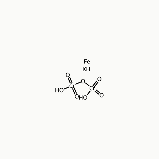 [Fe].[KH].[O]=[Cr](=[O])([OH])[O][Cr](=[O])(=[O])[OH]